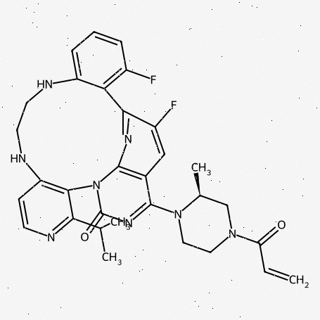 C=CC(=O)N1CCN(c2nc(=O)n3c4nc(c(F)cc24)-c2c(F)cccc2NCCNc2ccnc(C(C)C)c2-3)[C@@H](C)C1